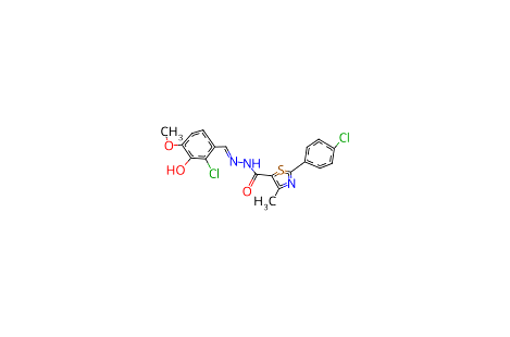 COc1ccc(/C=N/NC(=O)c2sc(-c3ccc(Cl)cc3)nc2C)c(Cl)c1O